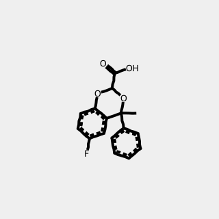 CC1(c2ccccc2)OC(C(=O)O)Oc2ccc(F)cc21